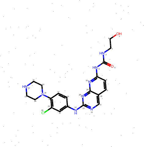 O=C(NCCO)Nc1ccc2cnc(Nc3ccc(N4CCNCC4)c(Cl)c3)nc2n1